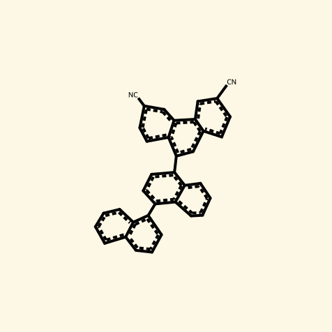 N#Cc1ccc2cc(-c3ccc(-c4cccc5ccccc45)c4ccccc34)c3ccc(C#N)cc3c2c1